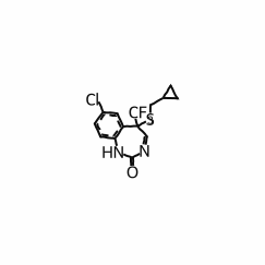 O=C1N=CC(SCC2CC2)(C(F)(F)F)c2cc(Cl)ccc2N1